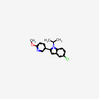 COc1ccc(-c2cc3cc(Cl)ccc3n2C(C)C)cn1